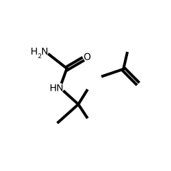 C=C(C)C.CC(C)(C)NC(N)=O